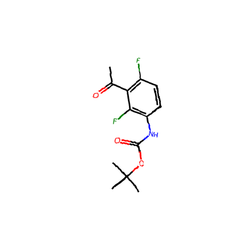 CC(=O)c1c(F)ccc(NC(=O)OC(C)(C)C)c1F